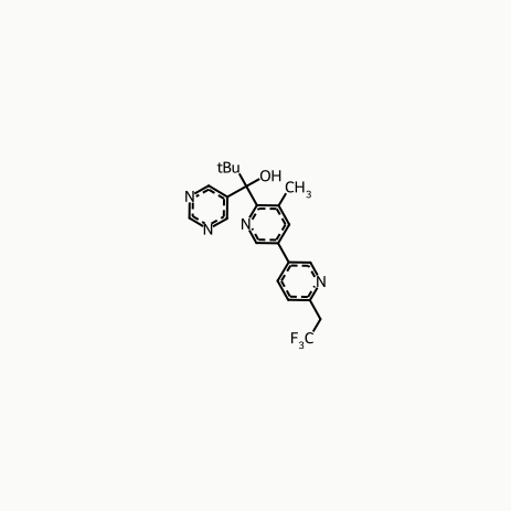 Cc1cc(-c2ccc(CC(F)(F)F)nc2)cnc1C(O)(c1cncnc1)C(C)(C)C